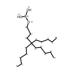 CCCCCC(CCCCC)(CCCCC)CCCOB(O)O